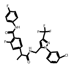 CC(C(=O)NCc1cc(C(F)(F)F)nn1-c1cccc(Cl)c1)c1ccc(C(=O)Nc2ccc(F)cc2)c(F)c1